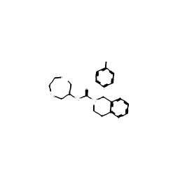 O=C(NC1CNCCOC1)N1CCc2ccccc2[C@H]1c1ccc(F)cc1